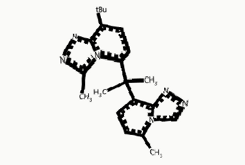 Cc1ccc(C(C)(C)c2ccc(C(C)(C)C)c3nnc(C)n23)c2nncn12